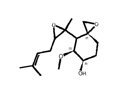 CO[C@H]1C(C2(C)OC2CC=C(C)C)[C@]2(CC[C@H]1O)CO2